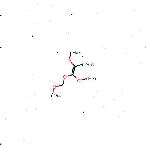 CCCCCCCCOCOC(OCCCCCC)=C(CCCCC)OCCCCCC